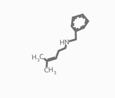 CC(C)=CCCNCc1ccccc1